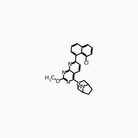 COc1nc(N2CC3CCC(C2)N3)c2ccc(-c3cccc4cccc(Cl)c34)nc2n1